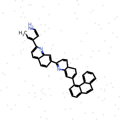 C/C=C(\C=C/N)c1ccc2ccc(C3=NC4=CC(c5cccc6ccc7ccccc7c56)=CCC4C=C3)cc2n1